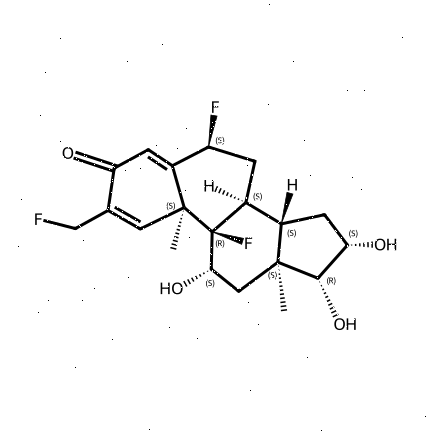 C[C@]12C[C@H](O)[C@@]3(F)[C@@H](C[C@H](F)C4=CC(=O)C(CF)=C[C@@]43C)[C@@H]1C[C@H](O)[C@@H]2O